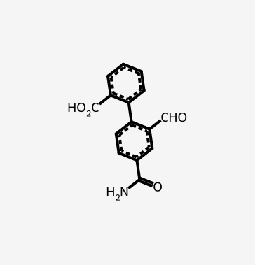 NC(=O)c1ccc(-c2ccccc2C(=O)O)c(C=O)c1